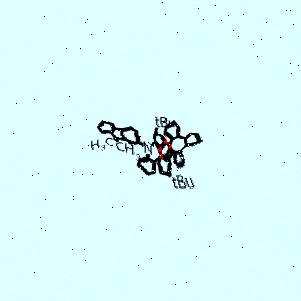 CC(C)(C)c1ccc2c(c1)C1(c3ccccc3-c3ccccc3-c3ccccc31)c1cc(C(C)(C)C)cc(N(c3ccc4c(c3)C(C)(C)c3ccccc3-4)c3ccccc3-c3ccccc3)c1-2